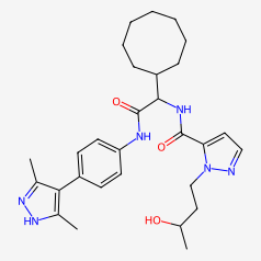 Cc1n[nH]c(C)c1-c1ccc(NC(=O)C(NC(=O)c2ccnn2CCC(C)O)C2CCCCCCC2)cc1